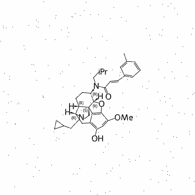 COc1cc(O)c2c3c1O[C@H]1[C@H](N(CC(C)C)C(=O)C=Cc4cccc(C)c4)CC[C@H]4[C@@H](C2)N(CC2CC2)CC[C@@]341